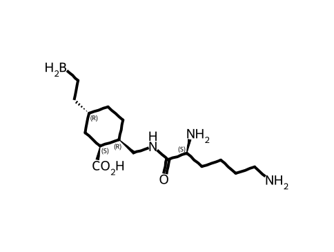 BCC[C@@H]1CC[C@@H](CNC(=O)[C@@H](N)CCCCN)[C@@H](C(=O)O)C1